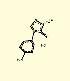 CC[C@@H](C)n1ncn(-c2ccc(N)cc2)c1=O.Cl